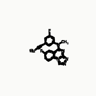 CN(c1cc(F)cc(C#CC(C)(C)C)c1)c1nc2nncn2c2ccc(F)cc12